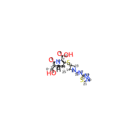 C[C@@H](O)[C@H]1C(=O)N2C(C(=O)O)=C(SC3CN(/C=N/c4nncs4)C3)[C@H](C)[C@H]12